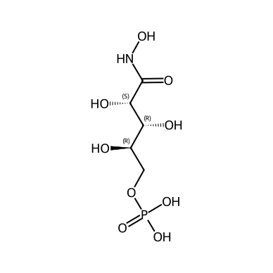 O=C(NO)[C@@H](O)[C@H](O)[C@H](O)COP(=O)(O)O